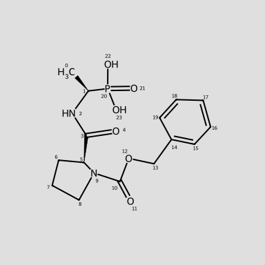 C[C@H](NC(=O)[C@@H]1CCCN1C(=O)OCc1ccccc1)P(=O)(O)O